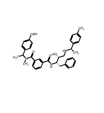 COc1ccc(C(C)N(C)C(=O)c2cccc(C(=O)N[C@@H](Cc3ccccc3)[C@H](O)CN[C@H](C)c3ccc(C)cc3)c2)cc1